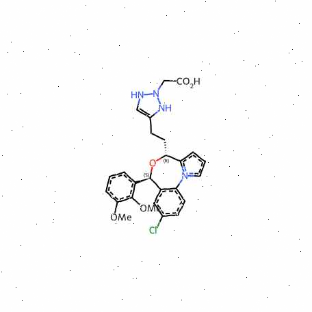 COc1cccc([C@H]2O[C@H](CCC3=CNN(CC(=O)O)N3)c3cccn3-c3ccc(Cl)cc32)c1OC